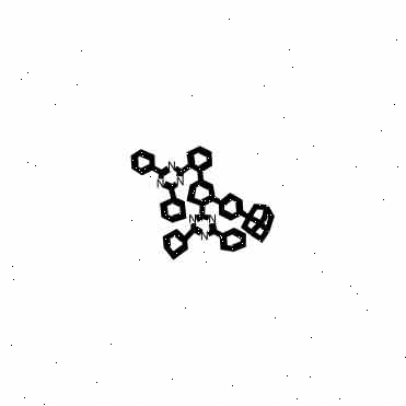 c1ccc(-c2nc(-c3ccccc3)nc(-c3ccccc3-c3ccc(-c4nc(-c5ccccc5)nc(-c5ccccc5)n4)c(-c4ccc(C56CC7CC8CC(C5)C86C7)cc4)c3)n2)cc1